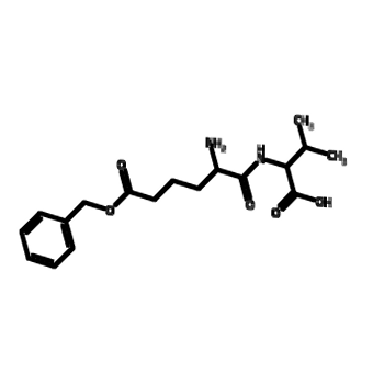 CC(C)C(NC(=O)C(N)CCCC(=O)OCc1ccccc1)C(=O)O